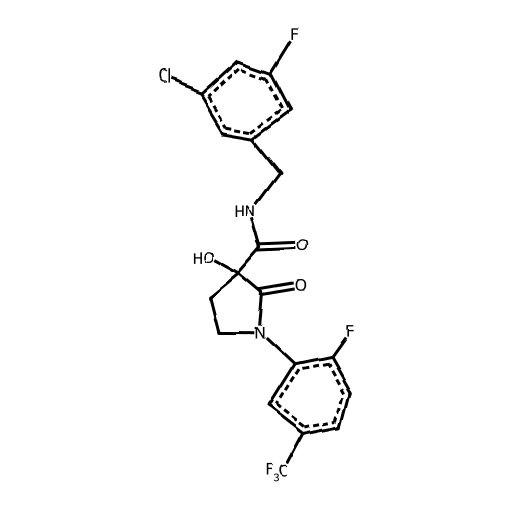 O=C(NCc1cc(F)cc(Cl)c1)C1(O)CCN(c2cc(C(F)(F)F)ccc2F)C1=O